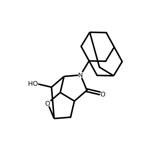 O=C1C2CC3OC2C(C3O)N1C12CC3CC(CC(C3)C1)C2